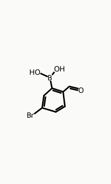 O=Cc1ccc(Br)cc1B(O)O